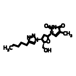 CCCCCc1cn([C@H]2CC(n3cc(C)c(=O)[nH]c3=O)O[C@@H]2CO)nn1